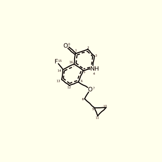 O=c1cc[nH]c2c(OCC3CC3)ccc(F)c12